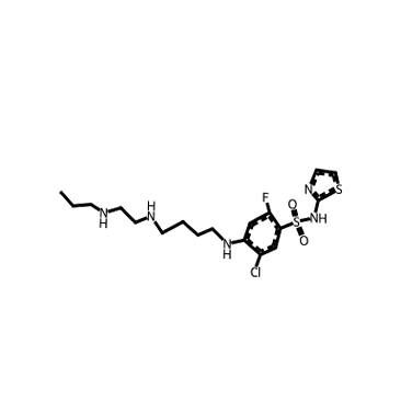 CCCNCCNCCCCNc1cc(F)c(S(=O)(=O)Nc2nccs2)cc1Cl